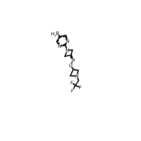 Bc1cnc(N2CC(=NOC3CN(CC(F)(F)F)C3)C2)nc1